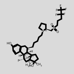 C[C@]1(O)CC[C@H]2[C@@H]3[C@H](CCCCCN4CCC[C@H]4CS(=O)(=O)CCCC(F)(F)C(F)(F)F)Cc4cc(O)ccc4[C@H]3[C@@H](F)C[C@@]21C